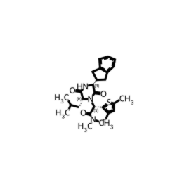 Cc1cc(F)c([C@H](C(=O)N(C)C)N2C(=O)[C@@H](C3Cc4ccccc4C3)NC(=O)[C@H]2CC(C)C)s1